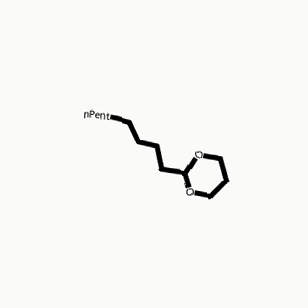 CCCCCCCCCC1OCCCO1